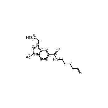 C=CCCCCNC(=O)c1ccc2c(C(C)=O)nn(CC(=O)O)c2c1